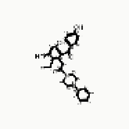 CCc1c(O)cc(O)c(C(=O)c2ccc(O)cc2)c1CC(=O)N1CCN(c2ccccc2)CC1